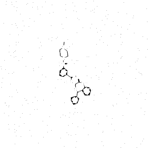 CN1CCN(S(=O)(=O)c2cccc(C(=O)N[C@H]3N=C(c4ccccc4)c4ccccc4NC3=O)c2)CC1